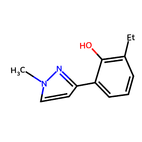 CCc1cccc(-c2ccn(C)n2)c1O